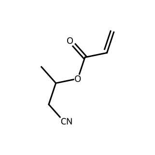 C=CC(=O)OC(C)CC#N